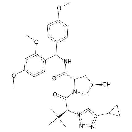 COc1ccc(C(NC(=O)[C@@H]2C[C@@H](O)CN2C(=O)[C@@H](n2cc(C3CC3)nn2)C(C)(C)C)c2ccc(OC)cc2OC)cc1